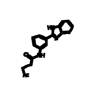 CC(=O)CCC(=O)Nc1cccc(-c2nc3ccccc3[nH]2)c1